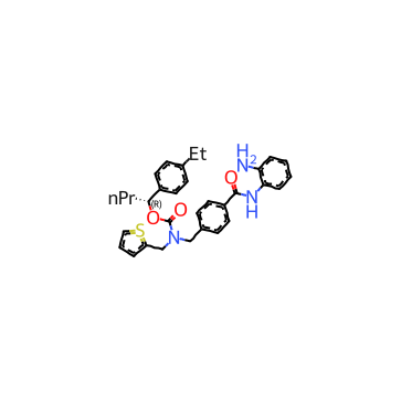 CCC[C@@H](OC(=O)N(Cc1ccc(C(=O)Nc2ccccc2N)cc1)Cc1cccs1)c1ccc(CC)cc1